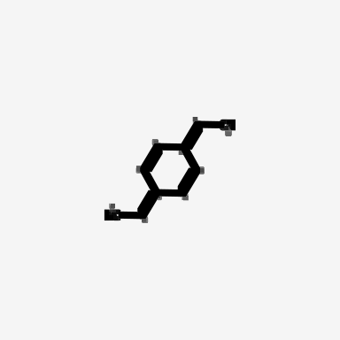 N#CC=c1ccc(=CC#N)cc1